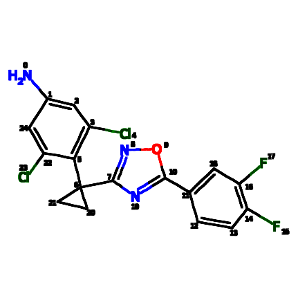 Nc1cc(Cl)c(C2(c3noc(-c4ccc(F)c(F)c4)n3)CC2)c(Cl)c1